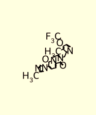 Cc1cn(-c2ccc3n(c2=O)CCN(Cc2nccc(OCC(F)(F)F)c2C)C3=O)cn1